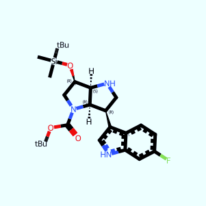 CC(C)(C)OC(=O)N1C[C@@H](O[Si](C)(C)C(C)(C)C)[C@H]2NC[C@@H](c3c[nH]c4cc(F)ccc34)[C@H]21